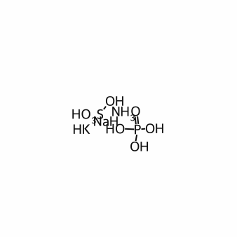 N.O=P(O)(O)O.O=S(=O)(O)O.[KH].[NaH]